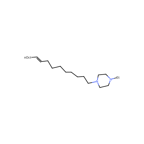 CCCCCCCCC=CCCCCCCCCN1CCN(CC)CC1